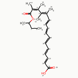 CCC(C)OC(=O)C(C)=C(C)C(C)=C(C)C=CC=CC=CC=CC=CC(=O)O